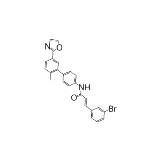 Cc1ccc(-c2ncco2)cc1-c1ccc(NC(=O)C=Cc2cccc(Br)c2)cc1